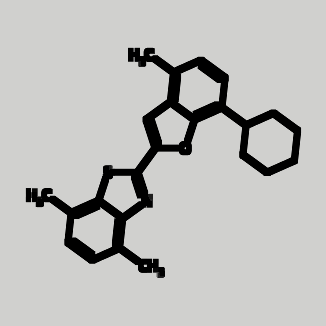 Cc1ccc(C2CCCCC2)c2oc(-c3nc4c(C)ccc(C)c4s3)cc12